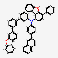 c1ccc(-c2ccc(N(c3ccc(-c4ccc5ccccc5c4)cc3)c3cccc(-c4cccc(-c5ccc6c(c5)oc5ccccc56)c4)c3)c3c2oc2ccccc23)cc1